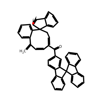 C=C1/C=C\C(C(=O)c2ccc3c(c2)C2(c4ccccc4-c4ccccc42)c2ccccc2-3)=C/CC2(c3ccccc31)c1ccccc1-c1ccccc12